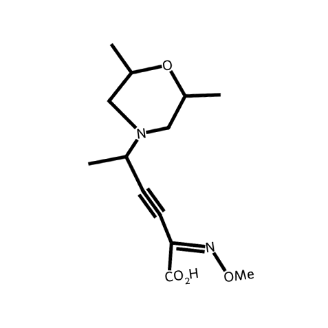 CON=C(C#CC(C)N1CC(C)OC(C)C1)C(=O)O